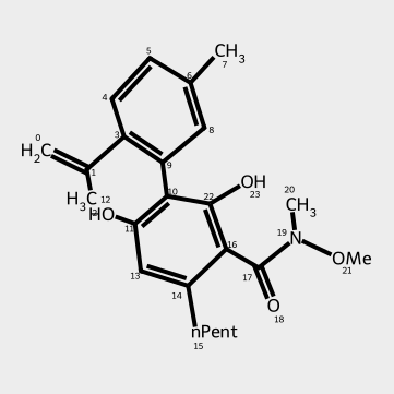 C=C(C)c1ccc(C)cc1-c1c(O)cc(CCCCC)c(C(=O)N(C)OC)c1O